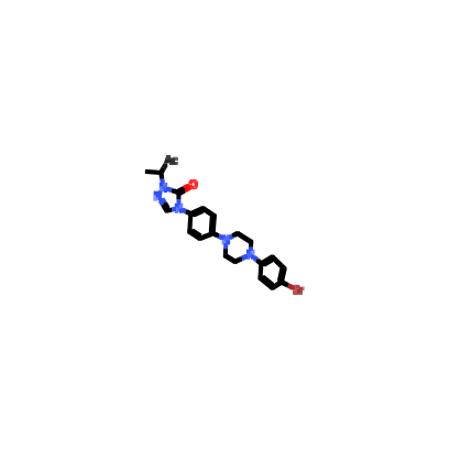 CC(=O)C(C)n1ncn(-c2ccc(N3CCN(c4ccc(Br)cc4)CC3)cc2)c1=O